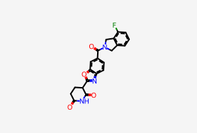 O=C1CCC(c2nc3ccc(C(=O)N4Cc5cccc(F)c5C4)cc3o2)C(=O)N1